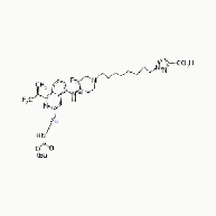 C=C(c1nc(/C=C/CNC(=O)OC(C)(C)C)cc2c(N[C@@H]3CCN(CCCCCCCCn4ccc(C(=O)O)n4)C[C@@H]3F)cccc12)C(F)(F)F